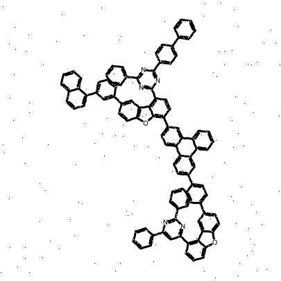 c1ccc(-c2ccc(-c3nc(-c4ccccc4)nc(-c4ccc(-c5ccc6c7ccc(-c8ccc(-c9ccc%10oc%11cccc(-c%12cc(-c%13ccccc%13)nc(-c%13ccccc%13)n%12)c%11c%10c9)cc8)cc7c7ccccc7c6c5)c5oc6ccc(-c7cccc(-c8cccc9ccccc89)c7)cc6c45)n3)cc2)cc1